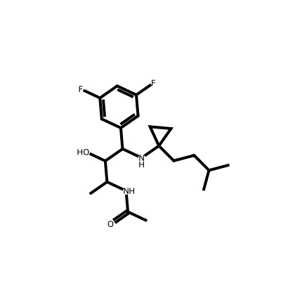 CC(=O)NC(C)C(O)C(NC1(CCC(C)C)CC1)c1cc(F)cc(F)c1